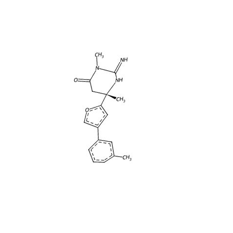 Cc1cccc(-c2coc([C@]3(C)CC(=O)N(C)C(=N)N3)c2)c1